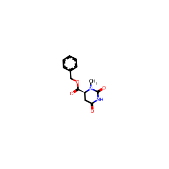 CN1C(=O)NC(=O)C[C@H]1C(=O)OCc1ccccc1